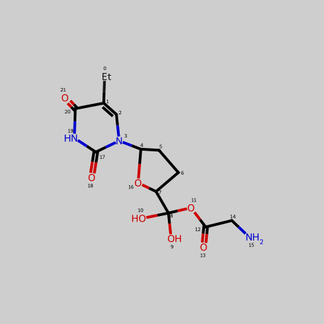 CCc1cn(C2CCC(C(O)(O)OC(=O)CN)O2)c(=O)[nH]c1=O